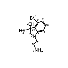 CC1(C)CN(CCN)c2cccc(Br)c21